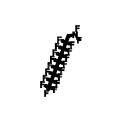 FN(F)CC(F)(F)C(F)(F)C(F)(F)C(F)(F)C(F)(F)C(F)(F)C(F)(F)C(F)(F)F